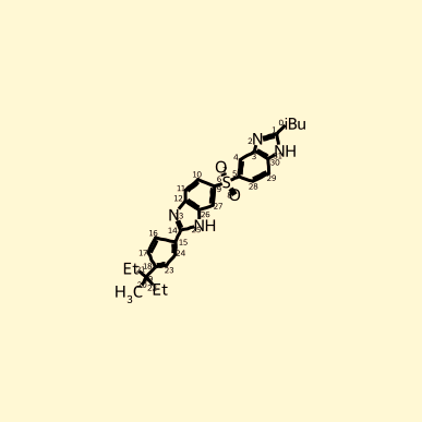 CCC(C)c1nc2cc(S(=O)(=O)c3ccc4nc(-c5ccc(C(C)(CC)CC)cc5)[nH]c4c3)ccc2[nH]1